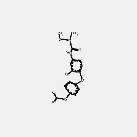 CON(C)C(=O)Nc1ccc(Oc2ccc(OC(F)F)cc2)c(Cl)c1